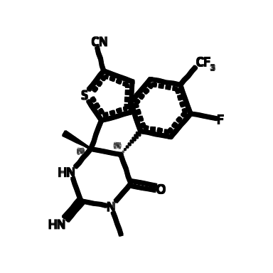 CN1C(=N)N[C@](C)(c2ccc(C#N)s2)[C@H](c2ccc(C(F)(F)F)c(F)c2)C1=O